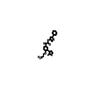 Cn1nccc1-c1cc(NC(=O)Oc2cc(-c3ccccc3)no2)ccc1OCCN